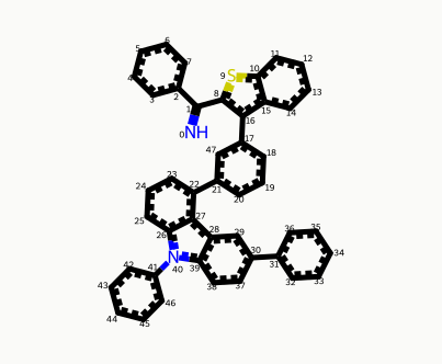 N=C(c1ccccc1)c1sc2ccccc2c1-c1cccc(-c2cccc3c2c2cc(-c4ccccc4)ccc2n3-c2ccccc2)c1